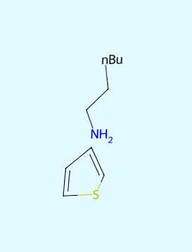 CCCCCCN.c1ccsc1